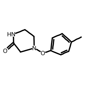 Cc1ccc(ON2CCNC(=O)C2)cc1